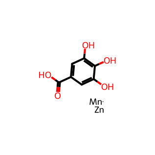 O=C(O)c1cc(O)c(O)c(O)c1.[Mn].[Zn]